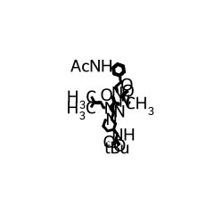 CC(=O)Nc1cccc(C(=O)Cn2c(=O)c3c(nc(N4CCCC(NC(=O)OC(C)(C)C)C4)n3CC=C(C)C)n(C)c2=O)c1